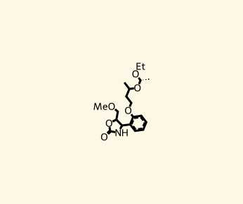 CCO[C@H](C)OC(C)CCOc1ccccc1C1NC(=O)OC1COC